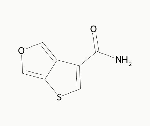 NC(=O)c1csc2cocc12